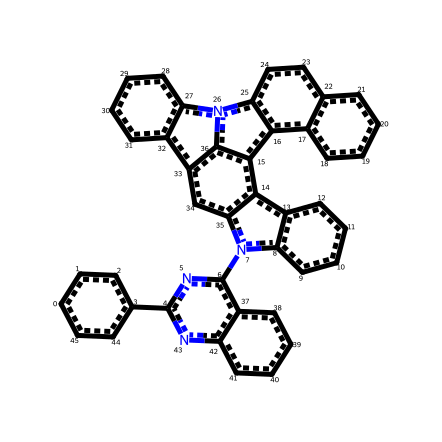 c1ccc(-c2nc(-n3c4ccccc4c4c5c6c7ccccc7ccc6n6c7ccccc7c(cc43)c56)c3ccccc3n2)cc1